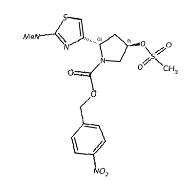 CNc1nc([C@@H]2C[C@@H](OS(C)(=O)=O)CN2C(=O)OCc2ccc([N+](=O)[O-])cc2)cs1